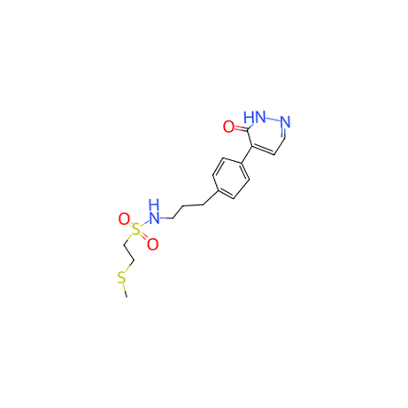 CSCCS(=O)(=O)NCCCc1ccc(-c2ccn[nH]c2=O)cc1